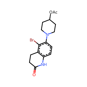 CC(=O)OC1CCN(c2ccc3c(c2Br)CCC(=O)N3)CC1